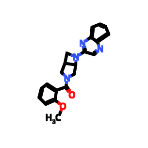 COc1ccccc1C(=O)N1CC2CN(c3cnc4ccccc4n3)C2C1